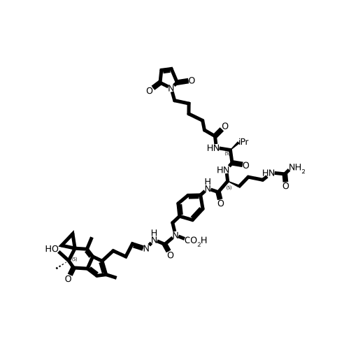 CC1=C(CCC=NNC(=O)N(Cc2ccc(NC(=O)[C@H](CCCNC(N)=O)NC(=O)[C@@H](NC(=O)CCCCCN3C(=O)C=CC3=O)C(C)C)cc2)C(=O)O)C2=C(C)C3(CC3)[C@](C)(O)C(=O)C2=C1